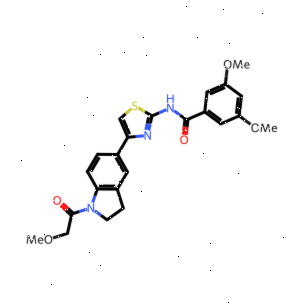 COCC(=O)N1CCc2cc(-c3csc(NC(=O)c4cc(OC)cc(OC)c4)n3)ccc21